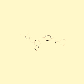 Cc1cc(NC2=CN(Sc3ccc(NC(=O)C4CCOCC4)cc3)CC3=NC=C[N+]23)n[nH]1